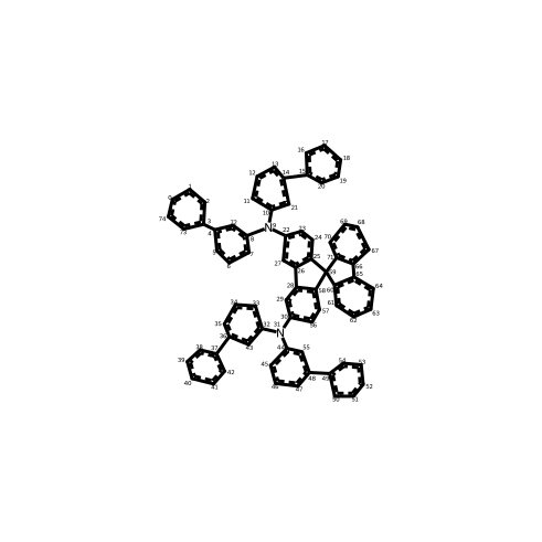 c1ccc(-c2cccc(N(c3cccc(-c4ccccc4)c3)c3ccc4c(c3)-c3cc(N(c5cccc(-c6ccccc6)c5)c5cccc(-c6ccccc6)c5)ccc3C43c4ccccc4-c4ccccc43)c2)cc1